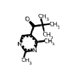 Cc1ncc(C(=O)C(C)(C)C)c(C)n1